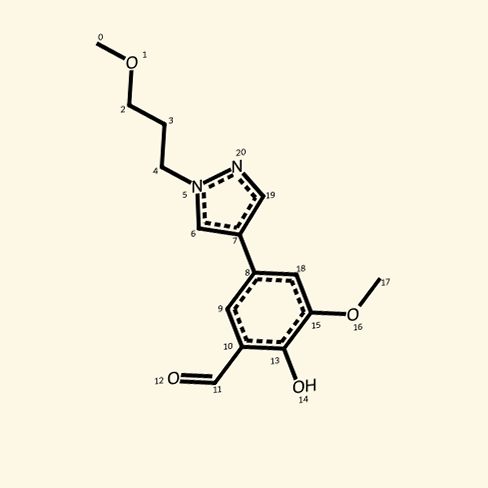 COCCCn1cc(-c2cc(C=O)c(O)c(OC)c2)cn1